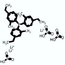 CCc1ccc(P(c2ccc(CC)cc2C)c2ccc(CC)cc2C)c(C)c1.O=[S-](=O)O.O=[S-](=O)O.O=[S-](=O)O.[Li+].[Li+].[Li+]